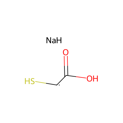 O=C(O)[CH]S.[NaH]